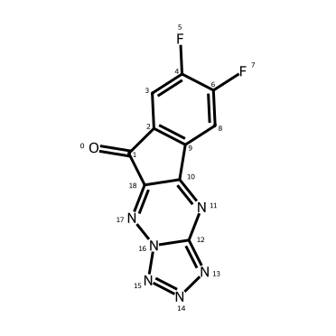 O=C1c2cc(F)c(F)cc2-c2nc3nnnn3nc21